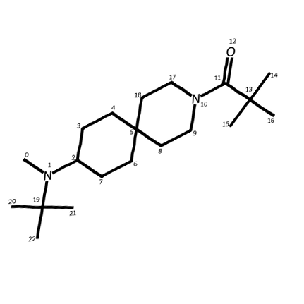 CN(C1CCC2(CC1)CCN(C(=O)C(C)(C)C)CC2)C(C)(C)C